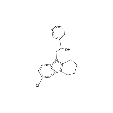 OC(Cn1c2c(c3cc(Cl)ccc31)CCCC2)c1cccnc1